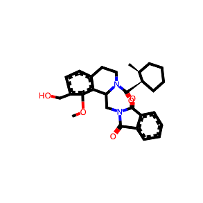 COc1c(CO)ccc2c1C(CN1C(=O)c3ccccc3C1=O)N(C(=O)[C@@H]1CCCC[C@@H]1C)CC2